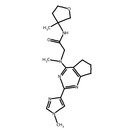 CN(CC(=O)NC1(C)CCOC1)c1nc(-c2cn(C)cn2)nc2c1CCC2